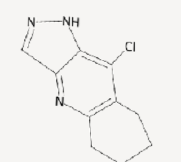 Clc1c2c(nc3cn[nH]c13)CCCC2